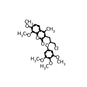 COc1cc(OC(CCl)Cc2c(C)c3ccc(OC)c(OC)c3oc2=O)cc(OC)c1OC